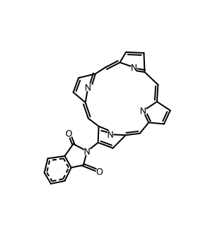 O=C1c2ccccc2C(=O)N1C1=CC2=CC3=NC(=CC4=NC(=CC5=NC(=CC1=N2)C=C5)C=C4)C=C3